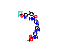 Cc1ccc(C(=O)NC2CCN(Cc3ccc(N4CCC(NC(=O)OC(C)(C)C)CC4)nc3)CC2)cc1-c1ccc(OC(F)(F)F)nc1